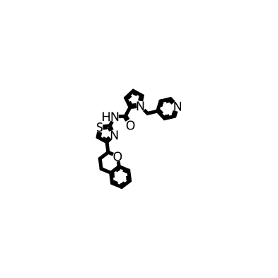 O=C(Nc1nc(C2CCc3ccccc3O2)cs1)c1cccn1Cc1ccncc1